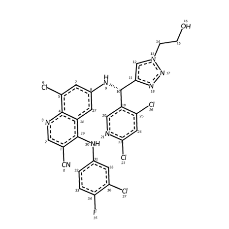 N#Cc1cnc2c(Cl)cc(N[C@H](c3cn(CCO)nn3)c3cnc(Cl)cc3Cl)cc2c1Nc1ccc(F)c(Cl)c1